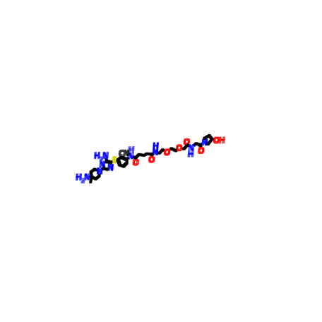 CC1(N)CCN(c2cnc(Sc3cccc(NC(=O)CCCC(=O)NCCOCCOCC(=O)NCC(=O)N4CC[C@@H](O)C4)c3C#N)c(N)n2)CC1